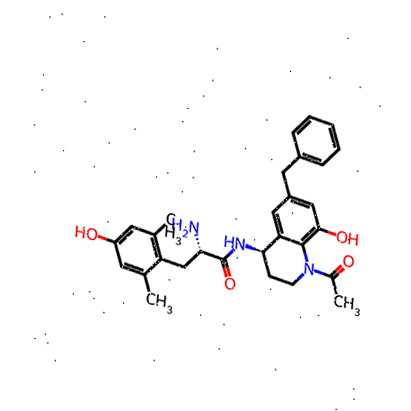 CC(=O)N1CC[C@@H](NC(=O)[C@@H](N)Cc2c(C)cc(O)cc2C)c2cc(Cc3ccccc3)cc(O)c21